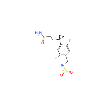 NC(=O)CCC1(c2cc(F)c(CN[SH](=O)=O)cc2F)CC1